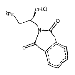 CC(C)C[C@@H]([C]=O)N1C(=O)c2ccccc2C1=O